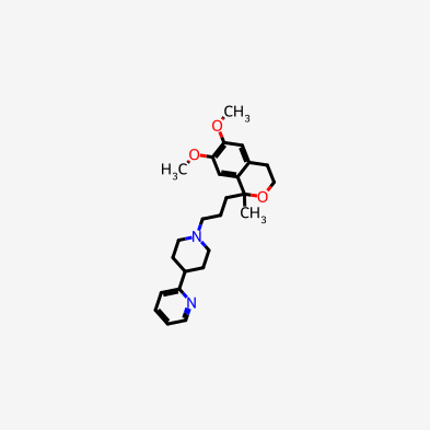 COc1cc2c(cc1OC)C(C)(CCCN1CCC(c3ccccn3)CC1)OCC2